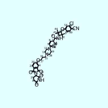 CC1(C)C(NC(=O)c2ccc(N3CCN(CCCOc4ccc5c(c4)C(=O)N(C4CCC(=O)NC4=O)C5=O)CC3)nn2)C(C)(C)C1Oc1ccc(C#N)c(Cl)c1